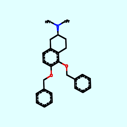 CCCN(CCC)[C@H]1CCc2c(ccc(OCc3ccccc3)c2OCc2ccccc2)C1